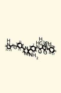 Cc1c(C(=O)Nc2ccc(-c3nc(-c4cccc(OCC5CCCN5)c4)cnc3N)cc2)c(=O)n(-c2ccccc2)n1C